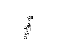 O=C(NCc1nnc(-c2ccccc2)s1)c1cn(C2CC(CO)(CO)C2)nn1